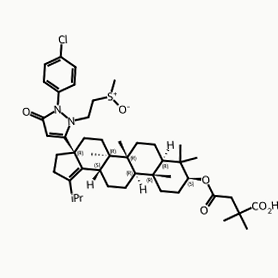 CC(C)C1=C2[C@H]3CC[C@@H]4[C@@]5(C)CC[C@H](OC(=O)CC(C)(C)C(=O)O)C(C)(C)[C@@H]5CC[C@@]4(C)[C@]3(C)CC[C@@]2(c2cc(=O)n(-c3ccc(Cl)cc3)n2CC[S+](C)[O-])CC1